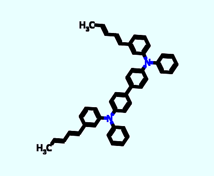 C/C=C/C=C/c1cccc(N(c2ccccc2)c2ccc(-c3ccc(N(c4ccccc4)c4cccc(/C=C/C=C/C)c4)cc3)cc2)c1